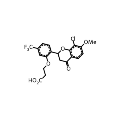 COc1ccc2c(c1Cl)OC(c1ccc(C(F)(F)F)cc1OCCC(=O)O)CC2=O